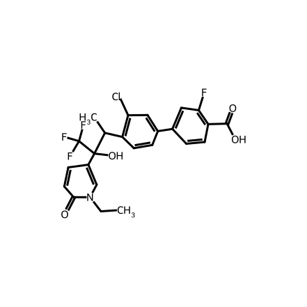 CCn1cc(C(O)(C(C)c2ccc(-c3ccc(C(=O)O)c(F)c3)cc2Cl)C(F)(F)F)ccc1=O